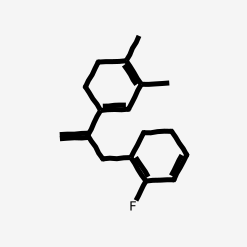 C=C(CC1=C(F)C=CCC1)C1=CC(C)=C(C)CC1